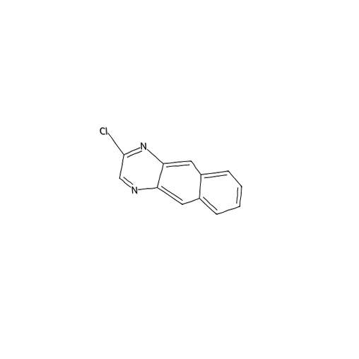 Clc1cnc2cc3ccccc3cc2n1